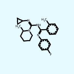 Cc1ccccc1/C(=N\c1ccc(F)cc1)N/C(=N/C1CC1)N1CCCCC1C